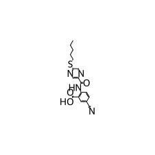 CCCCCSc1cnc(C(=O)Nc2ccc(C#N)cc2C(=O)O)cn1